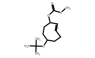 CSC(=O)OC1/C=C/CCC(OC(C)(C)C)CC1